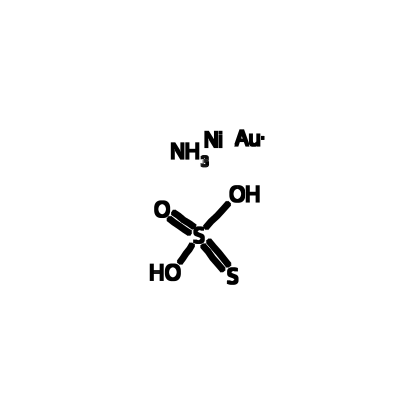 N.O=S(O)(O)=S.[Au].[Ni]